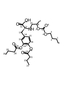 CCCCOC(=O)OC(C)CN[C@@H](Cc1ccc(OC(=O)CCC)c(OC(=O)CCC)c1)C(=O)O